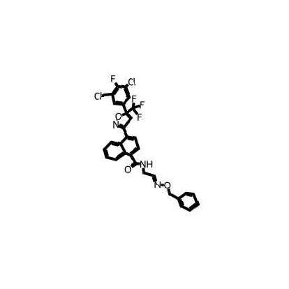 O=C(NCC=NOCc1ccccc1)c1ccc(C2=NOC(c3cc(Cl)c(F)c(Cl)c3)(C(F)(F)F)C2)c2ccccc12